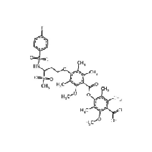 COc1c(C)c(OC(=O)c2c(C)c(C)c(OCCC(NS(=O)(=O)c3ccc(F)cc3)S(C)(=O)=O)c(C)c2OC)c(C)c(C)c1C(=O)O